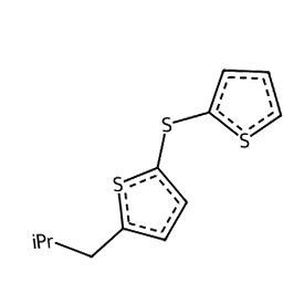 CC(C)Cc1ccc(Sc2cccs2)s1